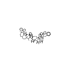 COC(=O)C(Cc1ccccc1)NC(=O)NC1CC[C@]2(C)[C@H]3C(=O)C=C4[C@H]5C[C@@](C)(C(=O)OC)CC[C@]5(C)CC[C@@]4(C)[C@]3(C)CC[C@H]2C1(C)C